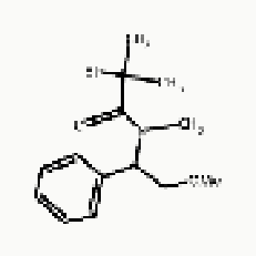 CCC(C)(C)C(=O)N(C)C(COC)c1ccccc1